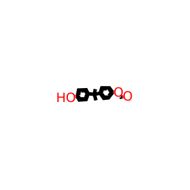 COCOc1ccc(C(C)(C)c2ccc(O)cc2)cc1